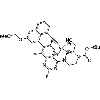 COCOc1cc(-c2c(F)cc3c(N4CCN(C(=O)OC(C)(C)C)C(CC#N)C4)nc(F)nc3c2F)c2c(C#C[Si](C(C)C)(C(C)C)C(C)C)cccc2c1